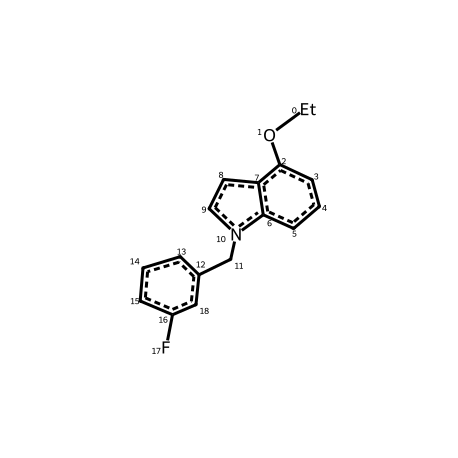 CCOc1cccc2c1ccn2Cc1cccc(F)c1